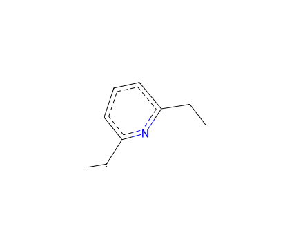 C[CH]c1cccc(CC)n1